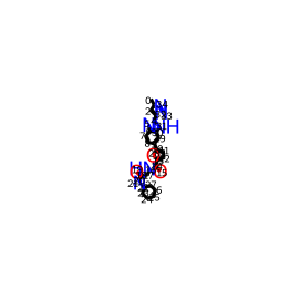 Cc1cc(-c2nc3ccc(-c4ccc(C(=O)NCC(=O)N(C)C5CCCCC5)o4)cc3[nH]2)n(C)n1